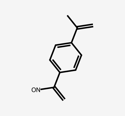 C=C(C)c1ccc(C(=C)N=O)cc1